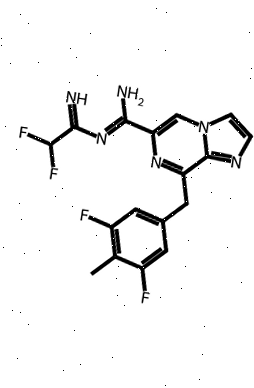 Cc1c(F)cc(Cc2nc(/C(N)=N/C(=N)C(F)F)cn3ccnc23)cc1F